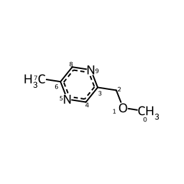 COCc1cnc(C)cn1